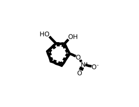 O=[N+]([O-])Oc1cccc(O)c1O